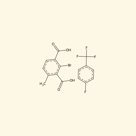 Cc1ccc(C(=O)O)c(Br)c1C(=O)O.Fc1ccc(C(F)(F)F)cc1